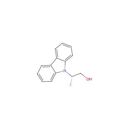 C[C@@H](CO)n1c2ccccc2c2ccccc21